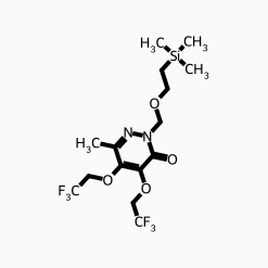 Cc1nn(COCC[Si](C)(C)C)c(=O)c(OCC(F)(F)F)c1OCC(F)(F)F